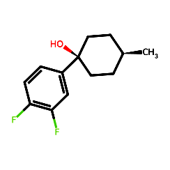 C[C@H]1CC[C@](O)(c2ccc(F)c(F)c2)CC1